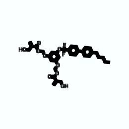 C=C(CO)C(=O)OCOc1cc(OCOC(=O)C(=C)CO)cc(OC(F)(F)c2ccc(-c3ccc(CCCCC)cc3)cc2)c1